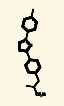 CCOC(=O)C(C)Cc1ccc(-c2ncn(-c3ccc(C)cc3)n2)cc1